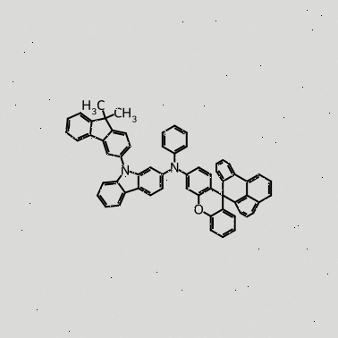 CC1(C)c2ccccc2-c2cc(-n3c4ccccc4c4ccc(N(c5ccccc5)c5ccc6c(c5)Oc5ccccc5C65c6ccccc6-c6cccc7cccc5c67)cc43)ccc21